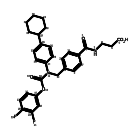 O=C(O)CCNC(=O)c1ccc(CN(C(=O)Oc2ccc(F)c(F)c2)c2ccc(C3CCCCC3)cc2)cc1